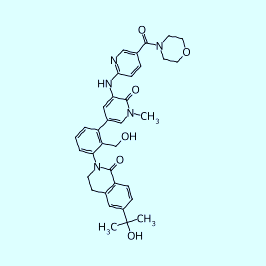 Cn1cc(-c2cccc(N3CCc4cc(C(C)(C)O)ccc4C3=O)c2CO)cc(Nc2ccc(C(=O)N3CCOCC3)cn2)c1=O